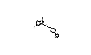 FC(F)(F)c1ccc2[nH]cc(CSCCN3CC=C(c4cccs4)CC3)c2c1